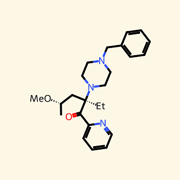 CC[C@@](C[C@H](C)OC)(C(=O)c1ccccn1)N1CCN(Cc2ccccc2)CC1